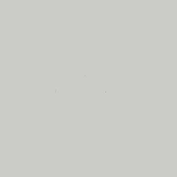 O[SiH](O)CC(O)(O)OC(F)F